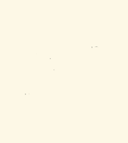 CCCCCCCCCCCCCCCC[Si](CCCCCCCCCCCCCCCC)(OCCC)OCCC